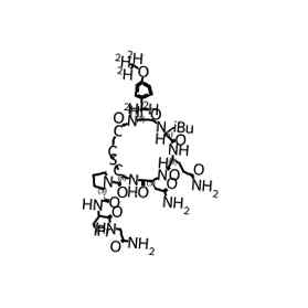 [2H]C([2H])([2H])Oc1ccc(C([2H])([2H])[C@@H]2NC(=O)CCCSC[C@@H](C(=O)N3CCC[C@H]3C(=O)NC(CC(C)C)C(=O)NCC(N)=O)NC(=O)[C@H](CC(N)=O)NC(=O)[C@H](CCC(N)=O)NC(=O)[C@H](C(C)CC)NC2=O)cc1